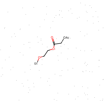 CCOCCOC(=O)COC(C)=O